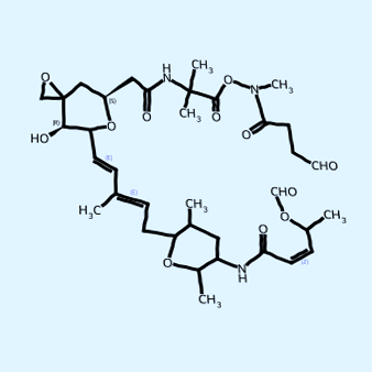 CC(/C=C/C1O[C@H](CC(=O)NC(C)(C)C(=O)ON(C)C(=O)CCC=O)CC2(CO2)[C@@H]1O)=C\CC1OC(C)C(NC(=O)/C=C\C(C)OC=O)CC1C